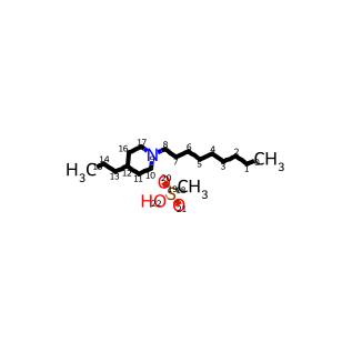 CCCCCCCCCN1CCC(CCC)CC1.CS(=O)(=O)O